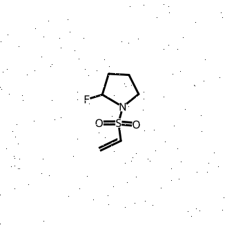 C=CS(=O)(=O)N1CCCC1F